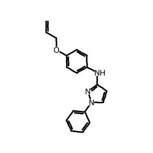 C=CCOc1ccc(Nc2ccn(-c3ccccc3)n2)cc1